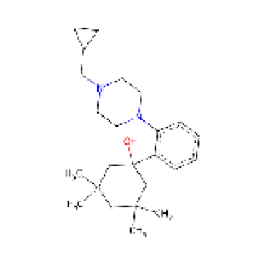 CC1(C)CC(C)(C)CC(O)(c2ccccc2N2CCN(CC3CC3)CC2)C1